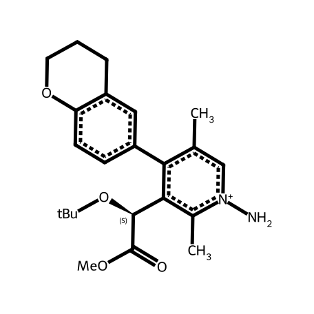 COC(=O)[C@@H](OC(C)(C)C)c1c(-c2ccc3c(c2)CCCO3)c(C)c[n+](N)c1C